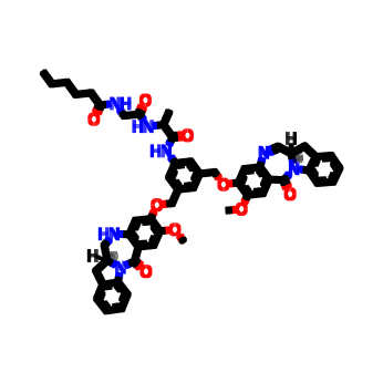 CCCCCC(=O)NCC(=O)NC(C)C(=O)Nc1cc(COc2cc3c(cc2OC)C(=O)N2c4ccccc4C[C@H]2C=N3)cc(COc2cc3c(cc2OC)C(=O)N2c4ccccc4C[C@H]2CN3)c1